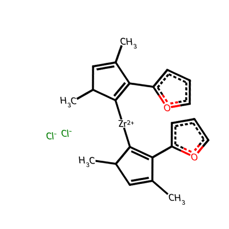 CC1=CC(C)[C]([Zr+2][C]2=C(c3ccco3)C(C)=CC2C)=C1c1ccco1.[Cl-].[Cl-]